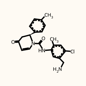 Cc1ccc([C@@H]2CC(=O)C=CN2C(=O)Nc2cc(CN)c(Cl)cc2C)cc1